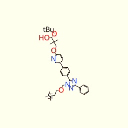 CC(C)(C)OC(O)C(C)(C)COc1ccc(-c2ccc(-c3nc(-c4ccccc4)nn3COCC[Si](C)(C)C)cc2)cn1